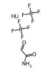 F[B-](F)(F)F.F[B-](F)(F)F.NC(=O)C=O.[LiH]